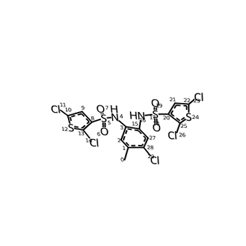 Cc1cc(NS(=O)(=O)c2cc(Cl)sc2Cl)c(NS(=O)(=O)c2cc(Cl)sc2Cl)cc1Cl